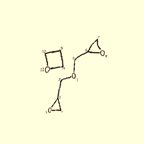 C(OCC1CO1)C1CO1.C1COC1